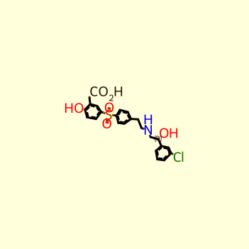 O=C(O)Cc1cc(S(=O)(=O)c2ccc(CCNC[C@H](O)c3cccc(Cl)c3)cc2)ccc1O